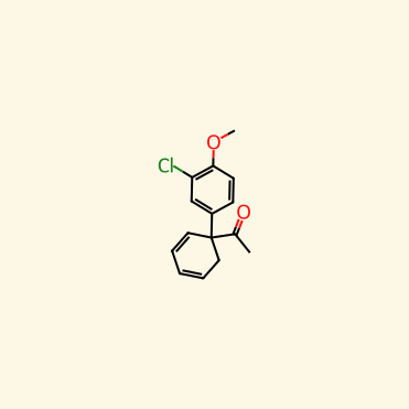 COc1ccc(C2(C(C)=O)C=CC=CC2)cc1Cl